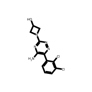 Nc1nc(N2CC(O)C2)nnc1-c1cccc(Cl)c1Cl